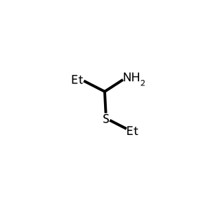 CCSC(N)CC